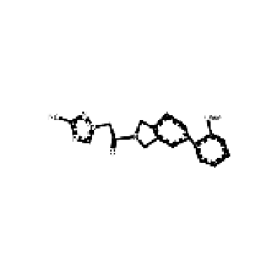 COc1ccccc1-c1ccc2c(c1)CN(C(=O)Cn1cnc(C#N)n1)C2